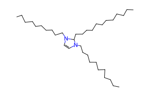 CCCCCCCCCCCCC1N(CCCCCCCCCC)C=CN1CCCCCCCCCCC